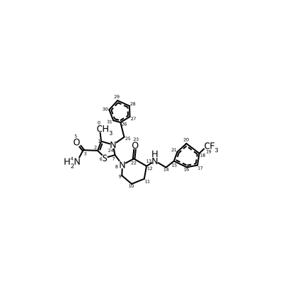 CC1=C(C(N)=O)SC(N2CCCC(NCc3ccc(C(F)(F)F)cc3)C2=O)N1Cc1ccccc1